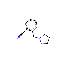 N#Cc1cc[c]cc1CN1CCCC1